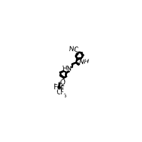 N#Cc1ccc2[nH]cc(CCNCc3cccc(OCC(F)(F)C(F)(F)F)c3)c2c1